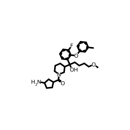 COCCCCC(O)(c1cccc(F)c1Oc1cccc(C)c1)C1CCCN(C(=O)C2CCC(N)C2)C1